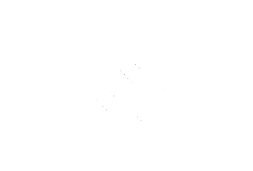 CCn1c(C=O)nnc1-c1ccncc1.CCn1c(CO)nnc1-c1ccncc1